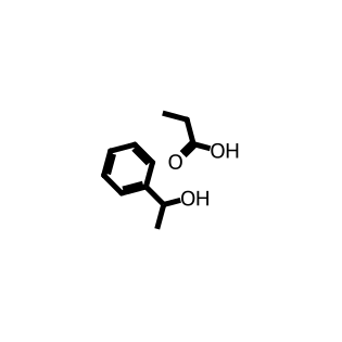 CC(O)c1ccccc1.CCC(=O)O